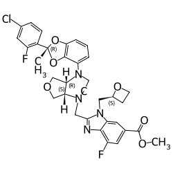 COC(=O)c1cc(F)c2nc(CN3CCN(c4cccc5c4O[C@](C)(c4ccc(Cl)cc4F)O5)[C@H]4COC[C@H]43)n(C[C@@H]3CCO3)c2c1